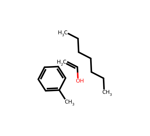 C=CO.CCCCCCC.Cc1ccccc1